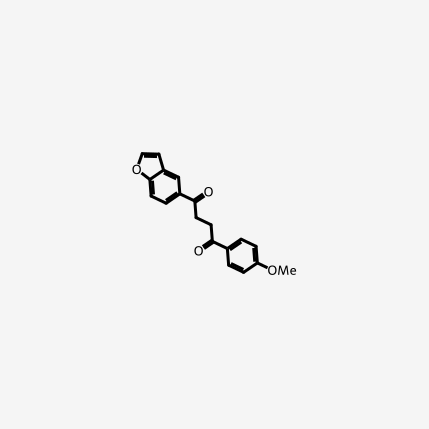 COc1ccc(C(=O)CCC(=O)c2ccc3occc3c2)cc1